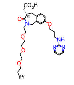 CC(C)CCOCCOCCOCCN1Cc2cc(OCCCNc3ncccn3)ccc2C[C@@H](CC(=O)O)C1=O